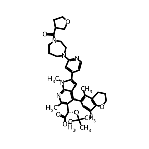 Cc1nc2c(cc(-c3ccnc(N4CCCN(C(=O)C5CCOC5)CC4)c3)n2C)c(-c2cc(F)c3c(c2C)CCCO3)c1[C@H](OC(C)(C)C)C(=O)O